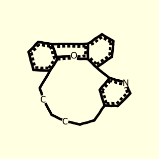 c1cc2c3oc4c(cccc4c3c1)-c1cc(ccn1)CCCCCC2